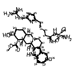 COC(=O)[C@@H]1[C@H]2C[C@H]3c4[nH]c5ccccc5c4CCN3C[C@@H]2CC[C@@H]1O.Cl.N=C(N)Nc1nc(CSCCC(=N)NS(N)(=O)=O)cs1